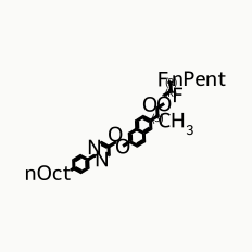 CCCCCCCCc1ccc(-c2ncc(C(=O)Oc3ccc4cc([C@H](C)C(=O)OC[C@@H](F)[C@H](F)CCCCC)ccc4c3)cn2)cc1